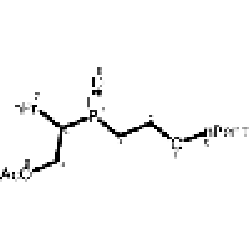 CCCCCOCC[PH](=O)C(CCC)COC(C)=O